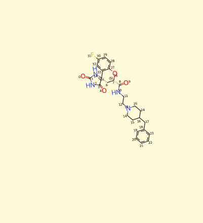 O=C1NC(=O)[C@@]2(C[C@@H](C(=O)NCCN3CCC(Cc4ccccc4)CC3)Oc3ccc(F)cc32)N1